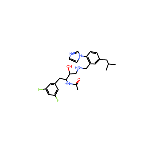 CC(=O)NC(Cc1cc(F)cc(F)c1)C(O)CNCc1cc(CC(C)C)ccc1-n1ccnc1